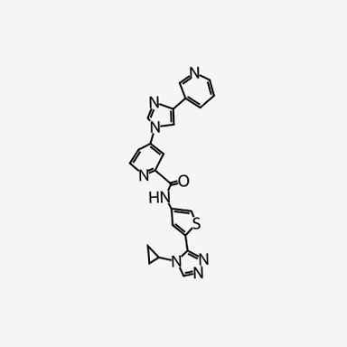 O=C(Nc1csc(-c2nncn2C2CC2)c1)c1cc(-n2cnc(-c3cccnc3)c2)ccn1